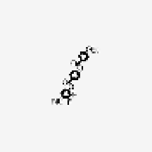 CCOc1ccc(C(=O)Oc2ccc(C(=O)Oc3ccc(C#N)c(F)c3F)cc2)cc1